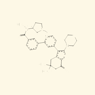 CN1CCC(N(C)C(=O)c2cccc(-c3cc(-c4c(N5CCOCC5)sc5c4CC(C)(C)CC5=O)ccn3)c2)C1